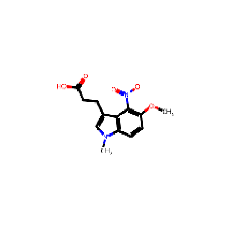 COc1ccc2c(c(CCC(=O)O)cn2C)c1[N+](=O)[O-]